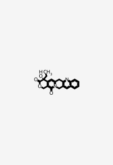 CC[C@@]1(O)C(=O)OCc2c1cc1n(c2=O)Cc2cc3ccccc3nc2C1